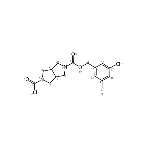 O=C(Cl)N1CC2CN(C(=O)OCc3cc(Cl)cc(Cl)c3)CC2C1